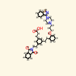 O=C(O)CCc1cc(CCc2ccccc2OCCCN2CCN(c3nsc4ccccc34)CC2)cc(CCN2C(=O)c3ccccc3C2=O)c1